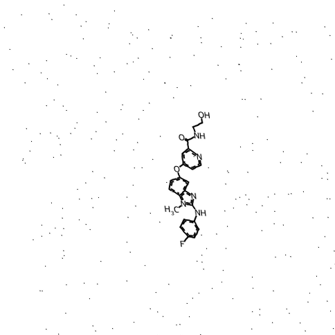 Cn1c(Nc2ccc(F)cc2)nc2cc(Oc3ccnc(C(=O)NCCO)c3)ccc21